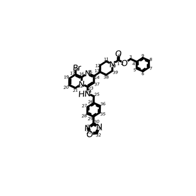 O=C(OCc1ccccc1)N1CCC(C2=NC3=C(Br)C=CCN3C(NCc3ccc(-c4ncon4)cc3)=C2)CC1